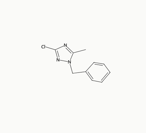 Cc1nc(Cl)nn1Cc1ccccc1